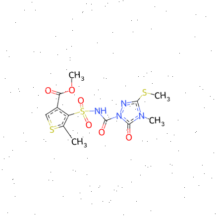 COC(=O)c1csc(C)c1S(=O)(=O)NC(=O)n1nc(SC)n(C)c1=O